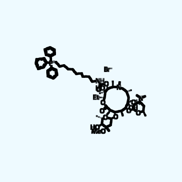 CC[C@H]1OC(=O)[C@H](C)[C@@H](O[C@H]2C[C@@](C)(OC)[C@@H](O)[C@H](C)O2)[C@H](C)[C@@H](O[C@@H]2O[C@H](C)C[C@H](N(C)C)[C@H]2O)[C@](C)(O)C[C@@H](C)CN(C)[C@H](C)[C@@H](OC(=O)NCCCCCCCCCC[P+](c2ccccc2)(c2ccccc2)c2ccccc2)[C@]1(C)O.[Br-]